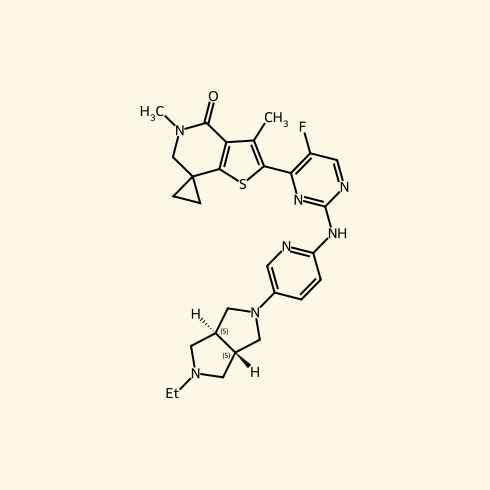 CCN1C[C@H]2CN(c3ccc(Nc4ncc(F)c(-c5sc6c(c5C)C(=O)N(C)CC65CC5)n4)nc3)C[C@@H]2C1